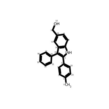 Cc1ccc(-c2[nH]c3ccc(CO)cc3c2-c2ccccc2)cc1